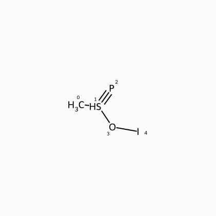 C[SH](#P)OI